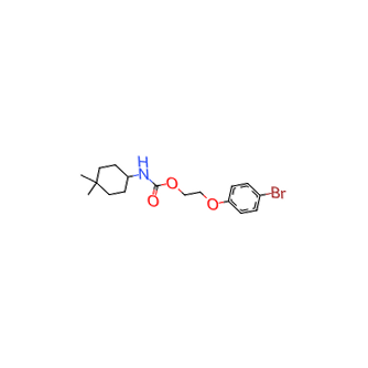 CC1(C)CCC(NC(=O)OCCOc2ccc(Br)cc2)CC1